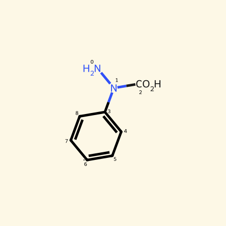 NN(C(=O)O)c1cc[c]cc1